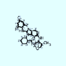 C[C@@H]1COCC[C@H]1Nc1ncc2nc(Nc3c(F)cc(Cl)cc3F)n(C3CCCCC3C(N)=O)c2n1